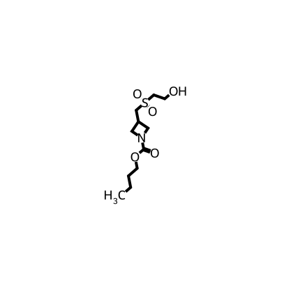 CCCCOC(=O)N1CC(CS(=O)(=O)CCO)C1